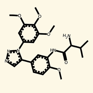 COc1ccc(-c2cnnn2-c2cc(OC)c(OC)c(OC)c2)cc1NC(=O)C(N)C(C)C